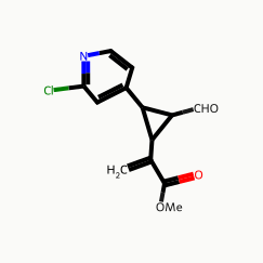 C=C(C(=O)OC)C1C(C=O)C1c1ccnc(Cl)c1